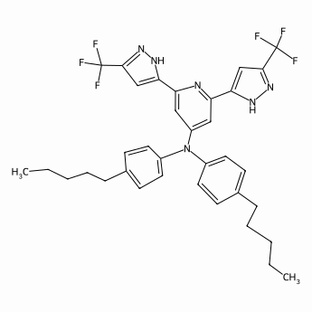 CCCCCc1ccc(N(c2ccc(CCCCC)cc2)c2cc(-c3cc(C(F)(F)F)n[nH]3)nc(-c3cc(C(F)(F)F)n[nH]3)c2)cc1